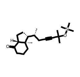 C[C@H](CC#CC(C)(C)O[Si](C)(C)C)[C@H]1CC[C@H]2C(=O)CCC[C@]12C